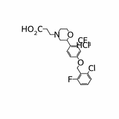 Cl.O=C(O)CCN1CCOC(c2ccc(OCc3c(F)cccc3Cl)cc2C(F)(F)F)C1